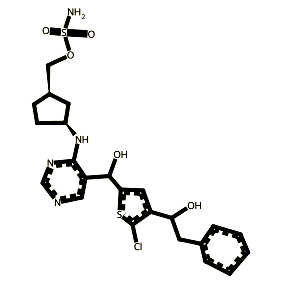 NS(=O)(=O)OC[C@@H]1CC[C@H](Nc2ncncc2C(O)c2cc(C(O)Cc3ccccc3)c(Cl)s2)C1